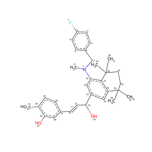 CN(Cc1ccc(F)cc1)c1cc(C(O)/C=C/c2ccc(C(=O)O)c(O)c2)cc2c1C(C)(C)CCC2(C)C